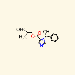 CC(C=O)COC(=O)c1cncn1[C@H](C)c1ccccc1